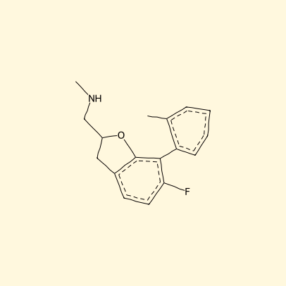 CNCC1Cc2ccc(F)c(-c3ccccc3C)c2O1